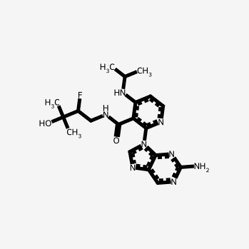 CC(C)Nc1ccnc(-n2cnc3cnc(N)nc32)c1C(=O)NCC(F)C(C)(C)O